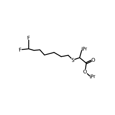 CC(C)OC(=O)C(SCCCCCCC(F)F)C(C)C